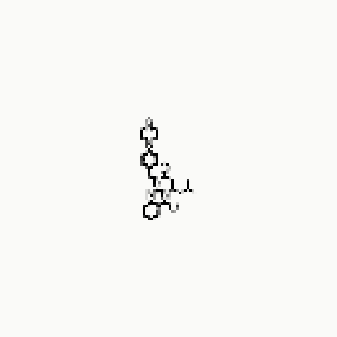 CC(C)CC1CC(=O)N(Cc2ccc(N3CCN(C)CC3)cc2)c2nc3ccccc3c(=O)n21